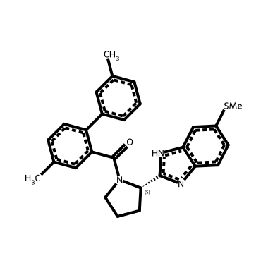 CSc1ccc2nc([C@@H]3CCCN3C(=O)c3cc(C)ccc3-c3cccc(C)c3)[nH]c2c1